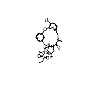 CCS(=O)(=O)N[C@H]1[C@@H](F)CN2C(=O)N(C)Cc3ccc(Cl)c(n3)Oc3cccc(c3)C[C@@H]12